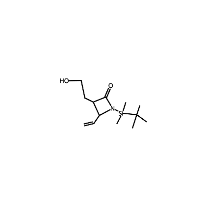 C=CC1C(CCO)C(=O)N1[Si](C)(C)C(C)(C)C